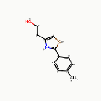 Cc1ccc(-c2nc(CCO)cs2)cc1